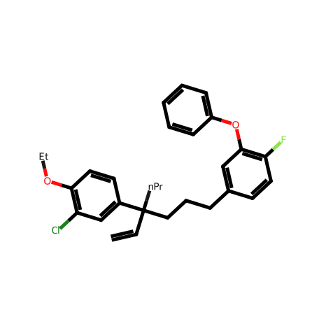 C=CC(CCC)(CCCc1ccc(F)c(Oc2ccccc2)c1)c1ccc(OCC)c(Cl)c1